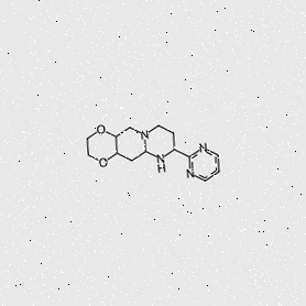 c1cnc(C2CCN3CC4OCCOC4CC3N2)nc1